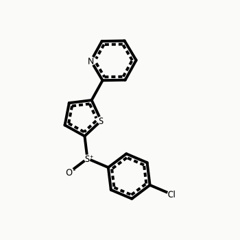 [O-][S+](c1ccc(Cl)cc1)c1ccc(-c2ccccn2)s1